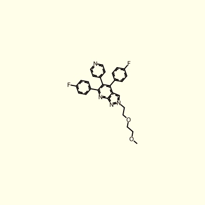 COCCOCCn1cc2c(-c3ccc(F)cc3)c(-c3ccncc3)c(-c3ccc(F)cc3)nc2n1